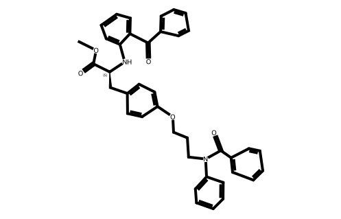 COC(=O)[C@H](Cc1ccc(OCCCN(C(=O)c2ccccc2)c2ccccc2)cc1)Nc1ccccc1C(=O)c1ccccc1